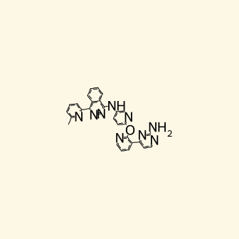 Cc1cccc(-c2nnc(Nc3ccc(Oc4ncccc4-c4ccnc(N)n4)nc3)c3ccccc23)n1